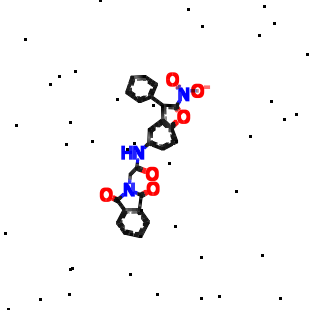 O=C(CN1C(=O)c2ccccc2C1=O)Nc1ccc2oc([N+](=O)[O-])c(-c3ccccc3)c2c1